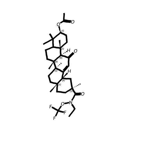 CCN(OC(F)(F)F)C(=O)[C@@]1(C)CC[C@]2(C)CC[C@]3(C)C(=CC(=O)[C@@H]4[C@@]5(C)CC[C@H](OC(C)=O)C(C)(C)C5CC[C@]43C)[C@@H]2C1